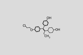 CCC(=C(c1ccc(O)cc1)c1ccc(OCCCl)cc1)C1CCC(O)CC1